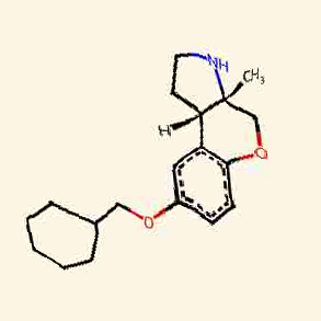 C[C@@]12COc3ccc(OCC4CCCCC4)cc3[C@@H]1CCN2